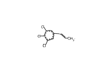 [CH2]/C=C/c1cc(Cl)c(Cl)c(Cl)c1